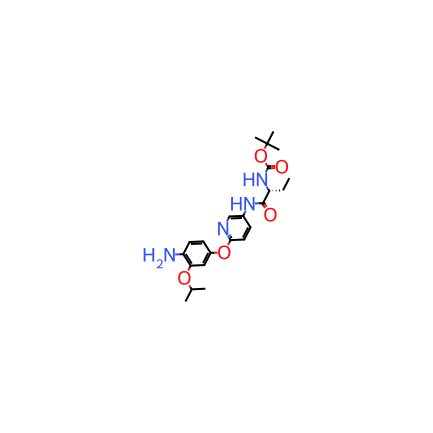 CC[C@@H](NC(=O)OC(C)(C)C)C(=O)Nc1ccc(Oc2ccc(N)c(OC(C)C)c2)nc1